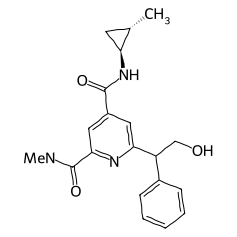 CNC(=O)c1cc(C(=O)N[C@H]2C[C@@H]2C)cc(C(CO)c2ccccc2)n1